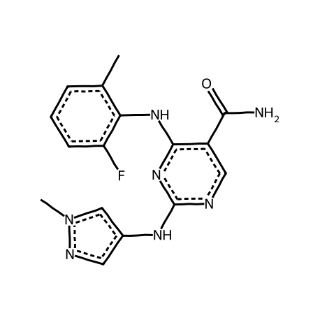 Cc1cccc(F)c1Nc1nc(Nc2cnn(C)c2)ncc1C(N)=O